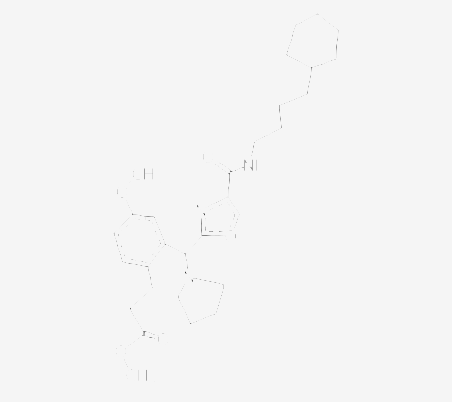 COC(=O)CCc1ccc(OC)cc1C(c1nc(C(=O)NCCCCC2CCCCC2)co1)N1CCCC1